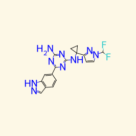 Nc1nc(NC2(c3ccn(C(F)F)n3)CC2)nc(-c2ccc3cn[nH]c3c2)n1